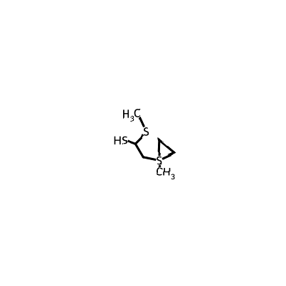 CSC(S)CS1(C)CC1